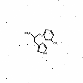 NC(Cc1c[nH]cn1)C(=O)O.[CH2]c1ccccc1